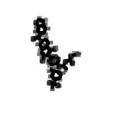 CC(C)OC(=O)OC(C)OC(=O)[C@H](Cc1cccc(S(C)(=O)=O)c1)NC(=O)c1c(Cl)cc2c(c1Cl)CCN(C(=O)c1ccc3ccoc3c1)C2